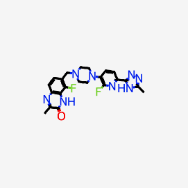 Cc1nnc(-c2ccc(N3CCN(Cc4ccc5nc(C)c(=O)[nH]c5c4F)CC3)c(F)n2)[nH]1